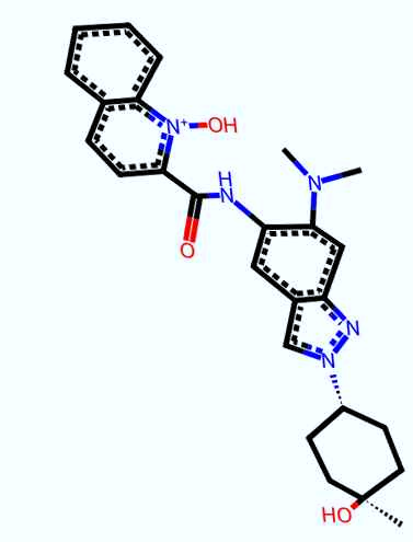 CN(C)c1cc2nn([C@H]3CC[C@](C)(O)CC3)cc2cc1NC(=O)c1ccc2ccccc2[n+]1O